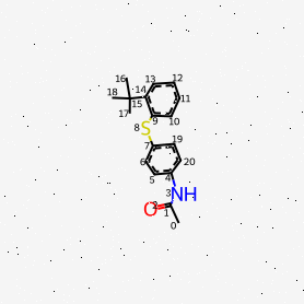 CC(=O)Nc1ccc(Sc2ccccc2C(C)(C)C)cc1